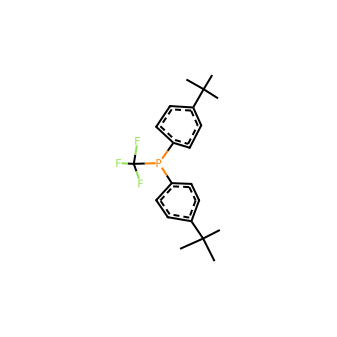 CC(C)(C)c1ccc(P(c2ccc(C(C)(C)C)cc2)C(F)(F)F)cc1